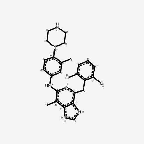 Cc1cc(Nc2nc(Cc3c(Cl)cccc3Cl)c3nc[nH]c3c2C)ccc1N1CCNCC1